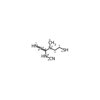 CN(CCS)C(=[N+]=N)NC#N